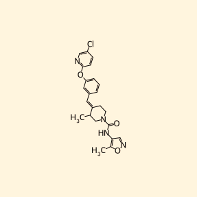 Cc1oncc1NC(=O)N1CCC(=Cc2cccc(Oc3ccc(Cl)cn3)c2)C(C)C1